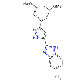 COc1cc(OC)cc(-c2cc(-c3nc4cc(C(F)(F)F)ccc4[nH]3)[nH]n2)c1